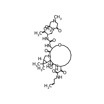 C=CCNC(=O)C(=O)[C@@H]1CCCCCCCOC[C@H](NC(=O)N[C@H](CN2C(=O)CN(C)CC2=O)C(=C)C)C(=O)N2C[C@H]3[C@@H]([C@H]2C(=O)N1)C3(C)C